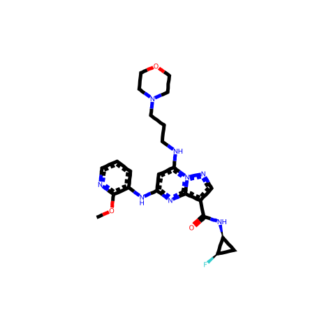 COc1ncccc1Nc1cc(NCCCN2CCOCC2)n2ncc(C(=O)N[C@H]3C[C@H]3F)c2n1